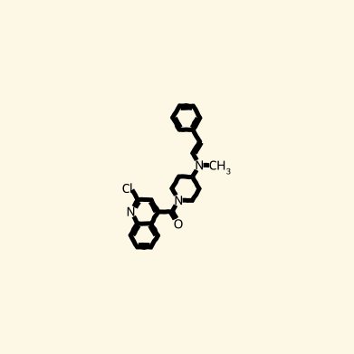 CN(C=Cc1ccccc1)C1CCN(C(=O)c2cc(Cl)nc3ccccc23)CC1